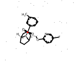 Cc1cccc(S(=O)(=O)N2C3CC[C@H]2CC[C@@H]3COc2ccc(F)cn2)c1